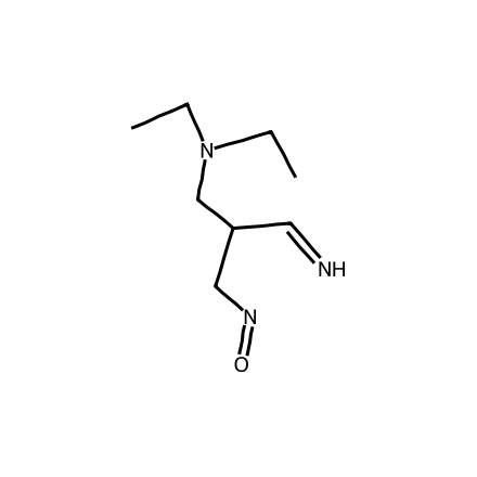 CCN(CC)CC(C=N)CN=O